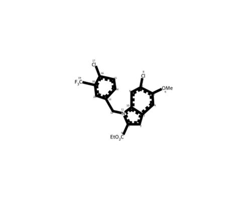 CCOC(=O)c1cc2cc(OC)c(Cl)cc2n1Cc1ccc(Cl)c(C(F)(F)F)c1